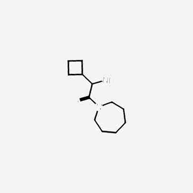 [NH]C(C(=O)N1CCCCCC1)C1CCC1